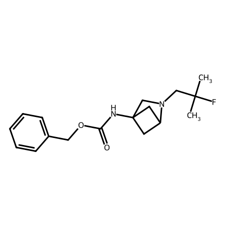 CC(C)(F)CN1CC2(NC(=O)OCc3ccccc3)CC1C2